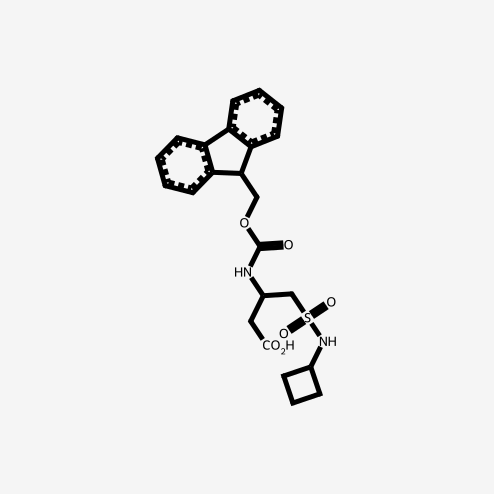 O=C(O)CC(CS(=O)(=O)NC1CCC1)NC(=O)OCC1c2ccccc2-c2ccccc21